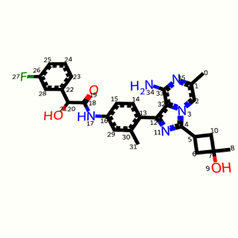 Cc1cn2c(C3CC(C)(O)C3)nc(-c3ccc(NC(=O)C(O)c4cccc(F)c4)cc3C)c2c(N)n1